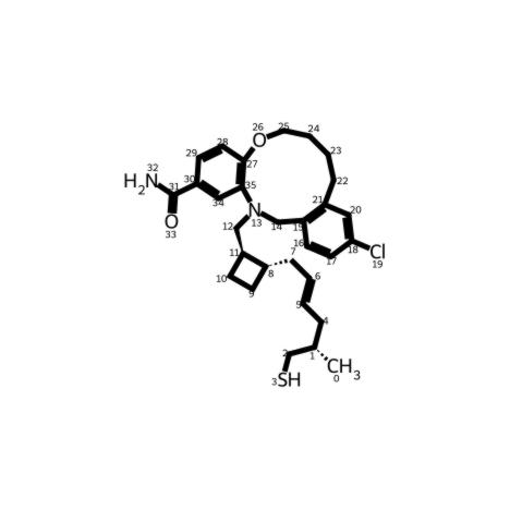 C[C@H](CS)C/C=C/C[C@@H]1CC[C@H]1CN1Cc2ccc(Cl)cc2CCCCOc2ccc(C(N)=O)cc21